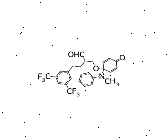 CN(c1ccccc1)C1(OCC(C=O)CCc2cc(C(F)(F)F)cc(C(F)(F)F)c2)C=CC(=O)C=C1